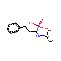 CC(C)[C@@H]([C]=O)NC(CCc1ccccc1)P(=O)(O)O